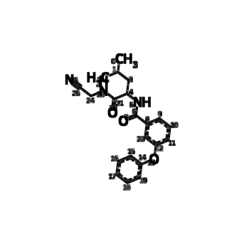 CC(C)CC(NC(=O)c1cccc(Oc2ccccc2)c1)C(=O)NCC#N